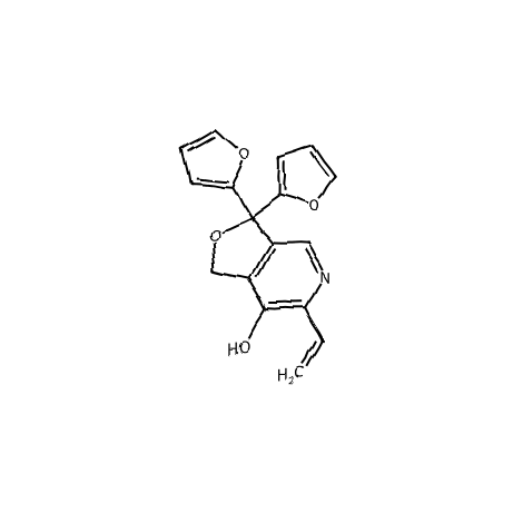 C=Cc1ncc2c(c1O)COC2(c1ccco1)c1ccco1